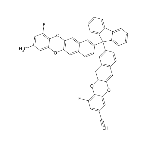 C#Cc1cc(F)c2c(c1)OC1=Cc3ccc(C4(c5ccc6cc7c(cc6c5)Oc5c(F)cc(C)cc5O7)c5ccccc5-c5ccccc54)cc3CC1O2